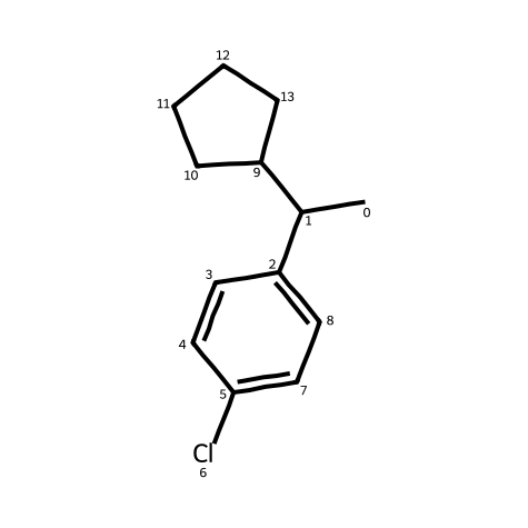 CC(c1ccc(Cl)cc1)C1CCCC1